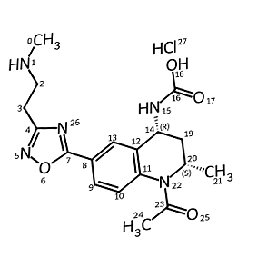 CNCCc1noc(-c2ccc3c(c2)[C@H](NC(=O)O)C[C@H](C)N3C(C)=O)n1.Cl